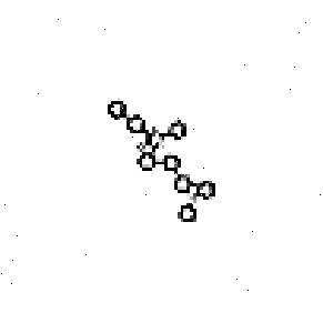 c1ccc(-c2ccc(-c3nc(-c4ccccc4)nc4c3oc3cccc(-c5cccc(-c6ccc7c(c6)c6ccccc6n7-c6ccccc6)c5)c34)cc2)cc1